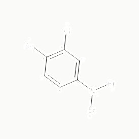 CCN(CC)c1ccc(C(C)=O)c(Cl)c1